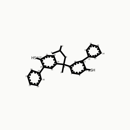 CC(C)CC(C)(c1ccc(S)c(-c2ccccc2)c1)c1ccc(S)c(-c2ccccc2)c1